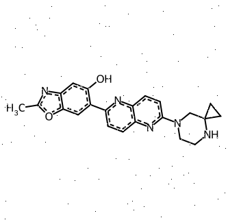 Cc1nc2cc(O)c(-c3ccc4nc(N5CCNC6(CC6)C5)ccc4n3)cc2o1